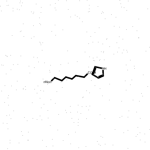 CCCCCCCCCCCCCCCC(=O)O.c1cc[nH]c1